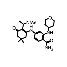 CNC(C)C1=C(Nc2ccc(C(N)=O)c(NC3CCOCC3)c2)CC(C)(C)CC1=O